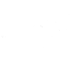 C=C(C(=O)O)[C@@H](CC(C)C)C(=O)N(CCc1ccccc1)C(=O)OCCOC